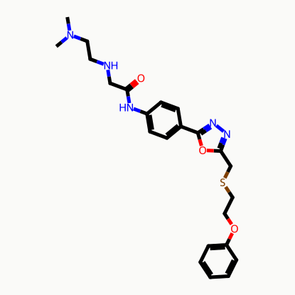 CN(C)CCNCC(=O)Nc1ccc(-c2nnc(CSCCOc3ccccc3)o2)cc1